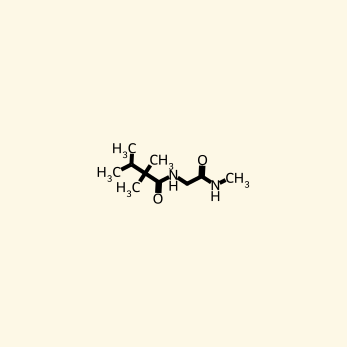 CNC(=O)CNC(=O)C(C)(C)C(C)C